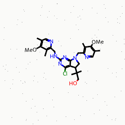 COc1c(C)cnc(CNc2nc(Cl)c3c(n2)N(Cc2ncc(C)c(OC)c2C)CC3C(C)(C)CO)c1C